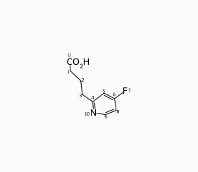 O=C(O)CCCc1cc(F)ccn1